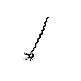 CCCCCCCCCCCCCCCCC=Cn1ccc(=O)c(O)c1C#N